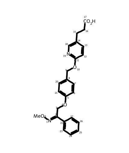 CO/N=C(\COc1ccc(COc2ccc(CCC(=O)O)cn2)cc1)c1ccccc1